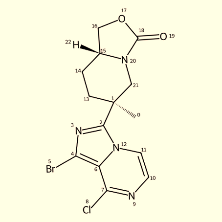 C[C@]1(c2nc(Br)c3c(Cl)nccn23)CC[C@@H]2COC(=O)N2C1